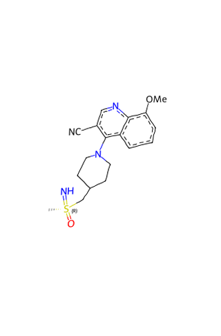 COc1cccc2c(N3CCC(C[S@](C)(=N)=O)CC3)c(C#N)cnc12